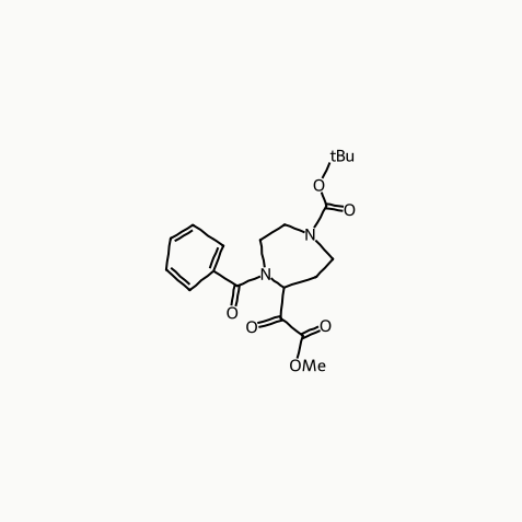 COC(=O)C(=O)C1CCN(C(=O)OC(C)(C)C)CCN1C(=O)c1ccccc1